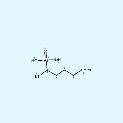 CCCCCCCCCC(CC)[As](=O)(O)O